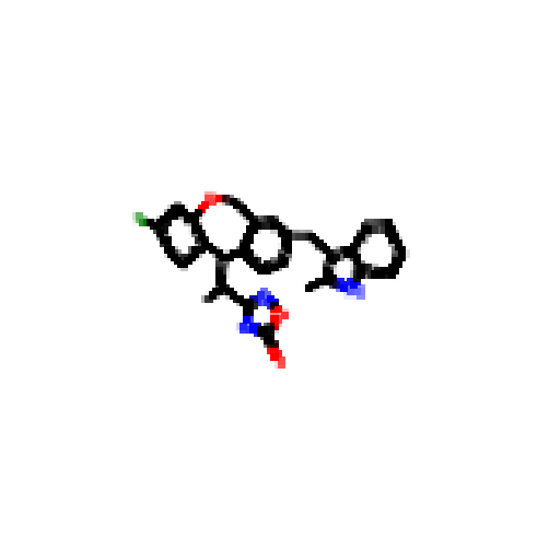 CC(=C1c2ccc(Cc3c(C)[nH]c4ccccc34)cc2COc2cc(F)ccc21)c1noc(=O)[nH]1